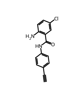 C#Cc1ccc(NC(=O)c2cc(Cl)ccc2N)cc1